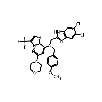 COc1ccc(CN(Cc2nc3cc(Cl)c(Cl)cc3[nH]2)c2cc(N3CCOCC3)nn3c(C(F)(F)F)cnc23)cc1